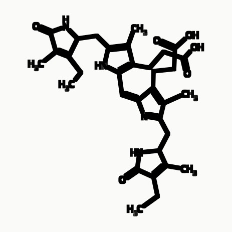 CCC1=C(C)C(CC2=NC(=Cc3[nH]c(CC4NC(=O)C(C)=C4CC)c(C)c3CCC(=O)O)C(CCC(=O)O)=C2C)NC1=O